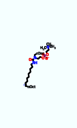 CCCCCCCC/C=C\CCCCCCCCNC(=O)N(CCCCCCCCCCC)CCOP(=O)([O-])OCC[N+](C)(C)C